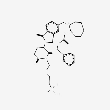 C[Si](C)(C)CCOCN1C(=O)CCC(N2Cc3cc(C[C@H]4CCCCC[C@@H]4NC(=O)OCc4ccccc4)ccc3C2=O)C1=O